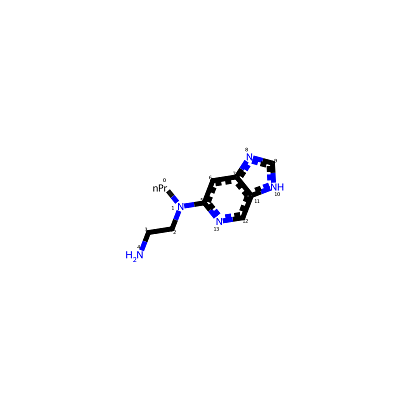 CCCN(CCN)c1cc2nc[nH]c2cn1